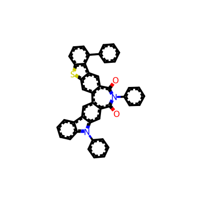 O=c1c2cc3c(cc2c2cc4c5ccccc5n(-c5ccccc5)c4cc2c(=O)n1-c1ccccc1)sc1cccc(-c2ccccc2)c13